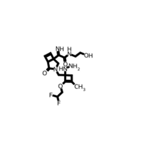 CC1=C(OCC(F)F)C(CN2CC3(C(=N)C(=O)NCCO)C=CC3C2=O)(NN)C1